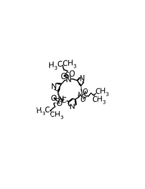 CC(C)CCS(=O)(=O)N1Cc2cncc(c2)CN(S(=O)(=O)CCC(C)C)Cc2cncc(c2)CN(S(=O)(=O)CCC(C)C)Cc2cncc(c2)C1